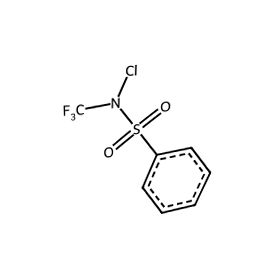 O=S(=O)(c1ccccc1)N(Cl)C(F)(F)F